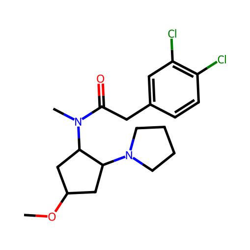 COC1CC(N2CCCC2)C(N(C)C(=O)Cc2ccc(Cl)c(Cl)c2)C1